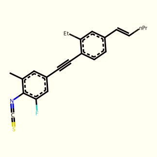 CCC/C=C/c1ccc(C#Cc2cc(C)c(N=C=S)c(F)c2)c(CC)c1